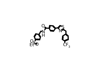 CCS(=O)(=O)c1ccc(CNC(=O)c2ccc(-c3csc(Cc4ccc(C(F)(F)F)cc4)n3)cc2)cc1